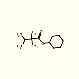 CC(N)C(C)(C)C(=O)OC1CCCCC1